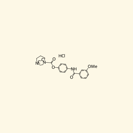 COc1cccc(C(=O)Nc2ccc(OC(=O)N3CCN4CCC3CC4)cc2)c1.Cl